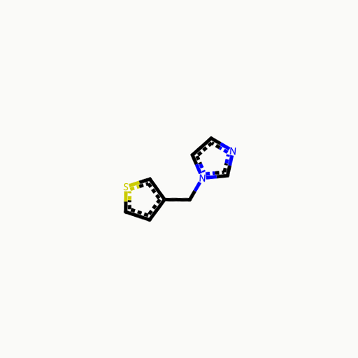 c1cn(Cc2ccsc2)cn1